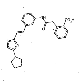 O=C(Cc1ccccc1C(=O)O)Nc1cccc(/C=C/c2nc(C3CCCC3)cs2)c1